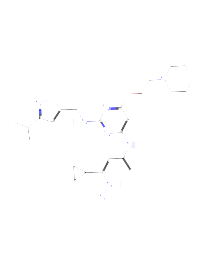 C=C(/C=C(\NN)C1CC1)Nc1cc(OCCN2CCOCC2)nc(NCc2cc(C(C)C)no2)n1